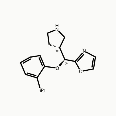 CC(C)c1ccccc1O[C@H](c1ncco1)[C@@H]1CCNC1